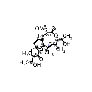 CO[C@H]1C[C@H]2C=C[C@@H]3C[C@]2(O[C@H]3C(=O)[C@H](C)[C@H](C)O)/C(C)=C/[C@@H](C)[C@@H]([C@@H](C)O)OC1=O